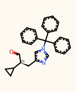 O=C[C@@H](Cc1cn(C(c2ccccc2)(c2ccccc2)c2ccccc2)cn1)C1CC1